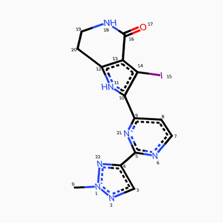 Cn1ncc(-c2nccc(-c3[nH]c4c(c3I)C(=O)NCC4)n2)n1